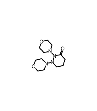 O=C1CCCN(N2CCOCC2)N1N1CCOCC1